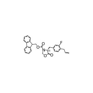 C=CCc1ccc(C[C@H]2C(=O)OCN2C(=O)OCC2c3ccccc3-c3ccccc32)cc1F